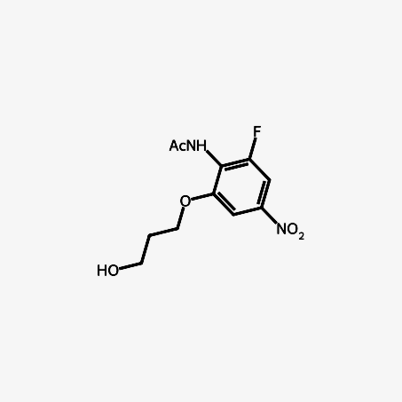 CC(=O)Nc1c(F)cc([N+](=O)[O-])cc1OCCCO